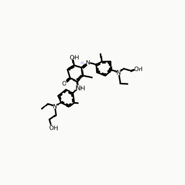 CCN(CCO)c1ccc(/N=C2/C(O)=CC(=O)C(Nc3ccc(N(CC)CCO)cc3C)=C2C)c(C)c1